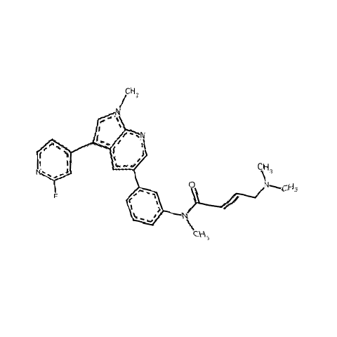 CN(C)C/C=C/C(=O)N(C)c1cccc(-c2cnc3c(c2)c(-c2ccnc(F)c2)cn3C)c1